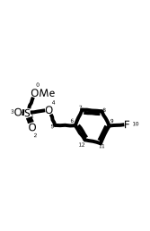 COS(=O)(=O)OCc1ccc(F)cc1